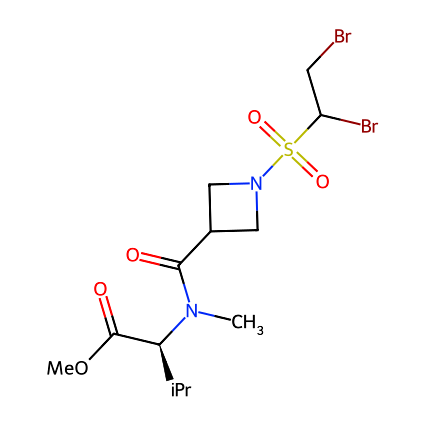 COC(=O)[C@H](C(C)C)N(C)C(=O)C1CN(S(=O)(=O)C(Br)CBr)C1